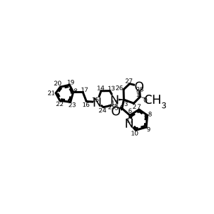 C[C@@H]1C[C@@](C(=O)c2ccccn2)(N2CCN(CCc3ccccc3)CC2)CCO1